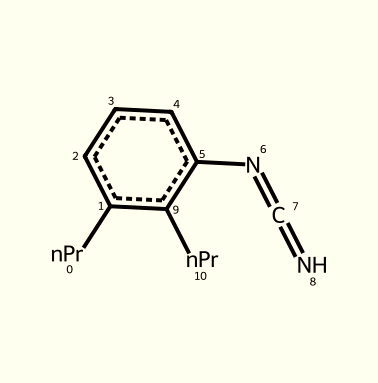 CCCc1cccc(N=C=N)c1CCC